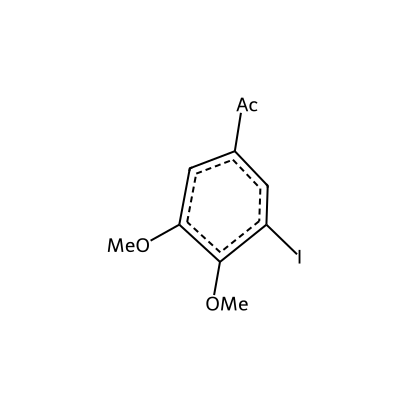 COc1cc(C(C)=O)cc(I)c1OC